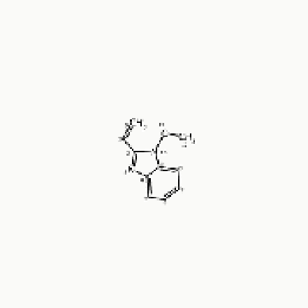 C=Cc1nc2ccccc2n1OC